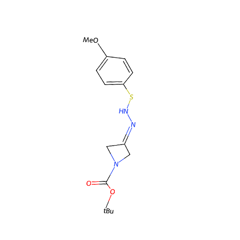 COc1ccc(SNN=C2CN(C(=O)OC(C)(C)C)C2)cc1